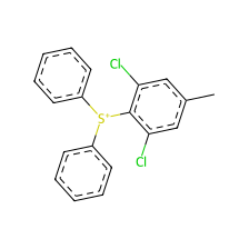 Cc1cc(Cl)c([S+](c2ccccc2)c2ccccc2)c(Cl)c1